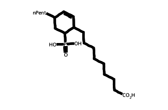 CCCCCC1C=CC(CCCCCCCCC(=O)O)C(P(=O)(O)O)C1